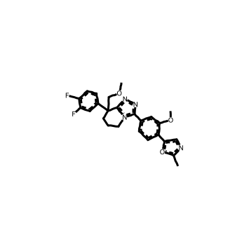 COCC1(c2ccc(F)c(F)c2)CCCn2c(-c3ccc(-c4cnc(C)o4)c(OC)c3)nnc21